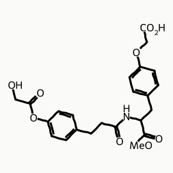 COC(=O)C(Cc1ccc(OCC(=O)O)cc1)NC(=O)CCc1ccc(OC(=O)CO)cc1